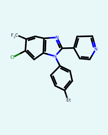 [CH2]Cc1ccc(-n2c(-c3ccncc3)nc3cc(C(F)(F)F)c(Cl)cc32)cc1